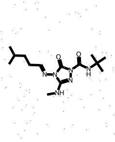 CNc1nn(C(=O)NC(C)(C)C)c(=O)n1N=CCCC(C)C